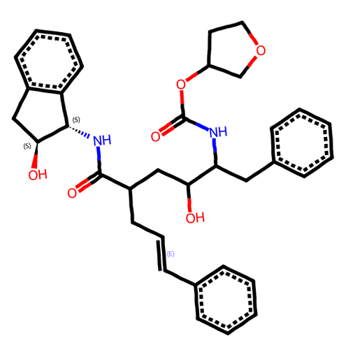 O=C(NC(Cc1ccccc1)C(O)CC(C/C=C/c1ccccc1)C(=O)N[C@H]1c2ccccc2C[C@@H]1O)OC1CCOC1